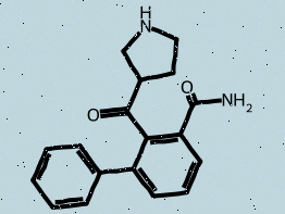 NC(=O)c1cccc(-c2ccccc2)c1C(=O)C1CCNC1